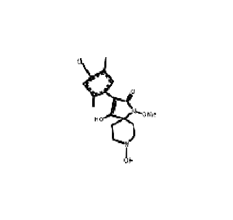 CON1C(=O)C(c2cc(C)c(Cl)cc2C)=C(O)C12CCN(O)CC2